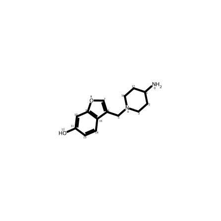 NC1CCN(Cc2coc3cc(O)ccc23)CC1